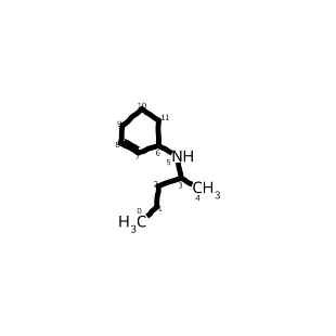 CCCC(C)NC1C=CCCC1